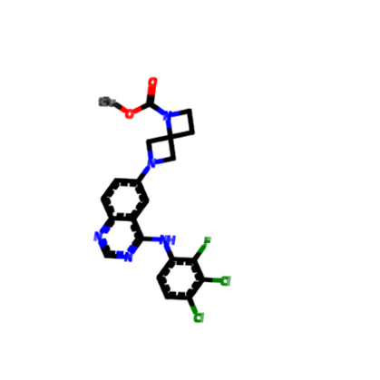 CC(C)(C)OC(=O)N1CCC12CN(c1ccc3ncnc(Nc4ccc(Cl)c(Cl)c4F)c3c1)C2